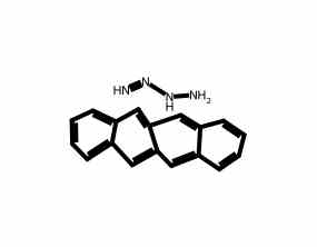 N=NNN.c1ccc2cc3cc4ccccc4cc3cc2c1